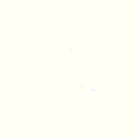 COCCCCNC1CN(S(=O)(=O)c2cn(C)cn2)CC1c1ccccc1